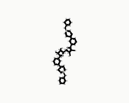 Cc1c(-c2cccc(-c3cc[n+](Cc4ccccc4)cc3)c2)sc(-c2sc(-c3cccc(-c4cc[n+](Cc5ccccc5)cc4)c3)c(C)c2C)c1C